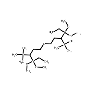 CO[Si](OC)(OC)C(CCSCCC([Si](C)(C)C)[Si](OC)(OC)OC)[Si](C)(C)C